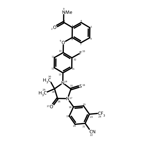 CNC(=O)c1ccccc1Oc1ccc(N2C(=S)N(c3ccc(C#N)c(C(F)(F)F)c3)C(=O)C2(C)C)cc1F